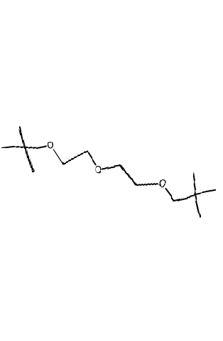 CC(C)(C)COCCOCCOC(C)(C)C